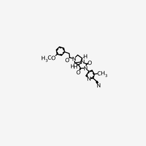 COc1cccc(CC(=O)N2C[C@@H]3C[C@H]2[C@H]2C(=O)N(c4cnc(C#N)c(C)c4)C(=O)N32)c1